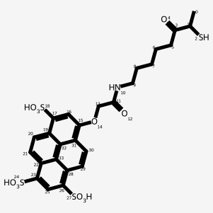 CC(S)C(=O)CCCCCNC(=O)COc1cc(S(=O)(=O)O)c2ccc3c(S(=O)(=O)O)cc(S(=O)(=O)O)c4ccc1c2c43